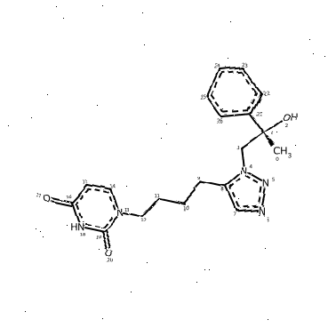 C[C@@](O)(Cn1nncc1CCCCn1ccc(=O)[nH]c1=O)c1ccccc1